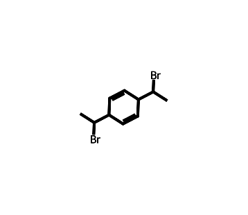 CC(Br)C1C=CC(C(C)Br)C=C1